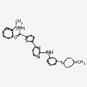 C[C@@H](NC(=O)c1ccc(-c2ccnc(Nc3cccc(N4CCN(C)CC4)c3)n2)s1)c1ccccc1